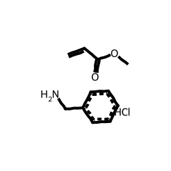 C=CC(=O)OC.Cl.NCc1ccccc1